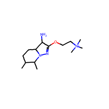 CC1CCC2C(N)C(OCC[N+](C)(C)C)=NN2C1C